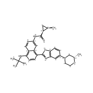 BC(B)(B)Nc1ncc(-c2nc3cc(N4CCO[C@@H](C)C4)ccc3o2)c2cc(NC(=O)[C@H]3C[C@H]3C)ncc12